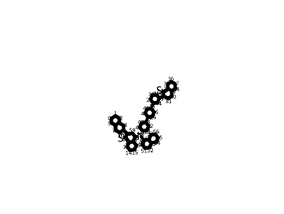 c1ccc2cc3c(cc2c1)sc1c2ccccc2c(N(c2ccc(-c4ccc(-c5ccc6sc7c8ccccc8ccc7c6c5)cc4)cc2)c2cccc4ccccc24)cc31